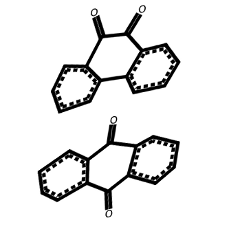 O=C1C(=O)c2ccccc2-c2ccccc21.O=C1c2ccccc2C(=O)c2ccccc21